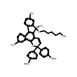 COc1ccc(C2(c3ccc(OC)cc3)C=Cc3c4c(c5ccc(C)cc5c3O2)-c2ccc(C)cc2[C@]4(C)OCCCCCO)cc1